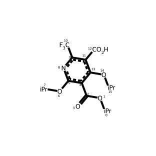 CC(C)OC(=O)c1c(OC(C)C)nc(C(F)(F)F)c(C(=O)O)c1OC(C)C